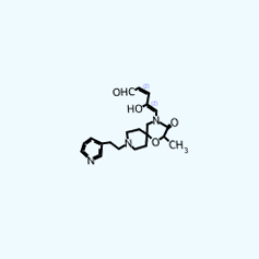 CC1OC2(CCN(CCc3cccnc3)CC2)CN(/C=C(O)/C=C\C=O)C1=O